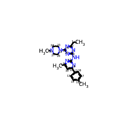 CCc1nc(Nc2nc(C)cc(-c3ccc(C)cc3)n2)nc(N2CCN(C)CC2)n1